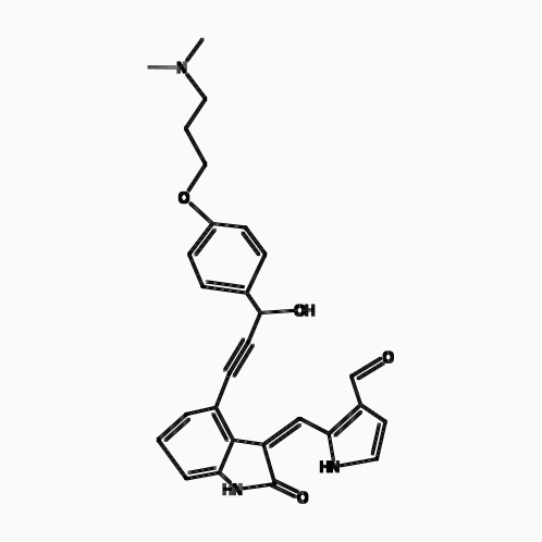 CN(C)CCCOc1ccc(C(O)C#Cc2cccc3c2/C(=C/c2[nH]ccc2C=O)C(=O)N3)cc1